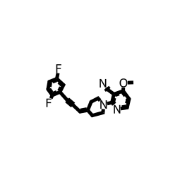 COc1ccnc(N2CCC(=CC#Cc3cc(F)ccc3F)CC2)c1C#N